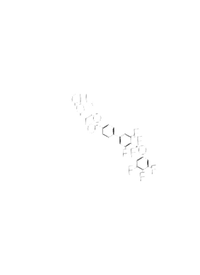 CCOCC1COC(c2ccc(-c3cc(F)c(C(F)(F)Oc4cc(F)c(F)c(F)c4)c(F)c3)cc2)OC1